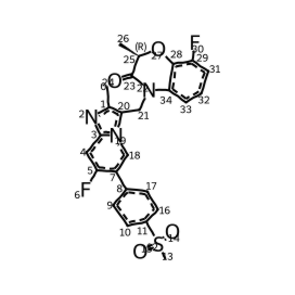 Cc1nc2cc(F)c(-c3ccc(S(C)(=O)=O)cc3)cn2c1CN1C(=O)[C@@H](C)Oc2c(F)cccc21